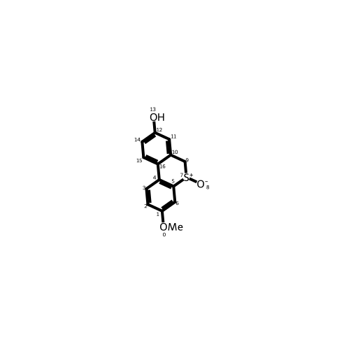 COc1ccc2c(c1)[S+]([O-])Cc1cc(O)ccc1-2